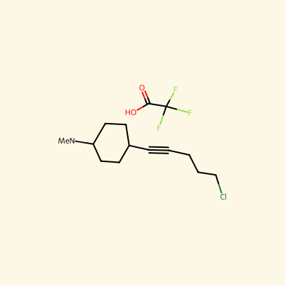 CNC1CCC(C#CCCCCl)CC1.O=C(O)C(F)(F)F